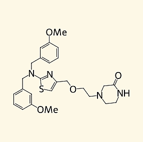 COc1cccc(CN(Cc2cccc(OC)c2)c2nc(COCCN3CCNC(=O)C3)cs2)c1